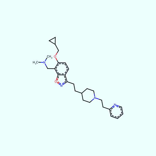 CN(C)Cc1c(OCC2CC2)ccc2c(CCC3CCN(CCc4ccccn4)CC3)noc12